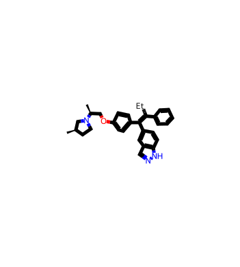 CCC(=C(c1ccc(OC[C@H](C)N2CC[C@@H](C)C2)cc1)c1ccc2[nH]ncc2c1)c1ccccc1